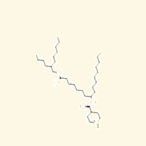 CCCCCCCCCC(CCCCCCC(=O)OCC(CCCC)CCCCCC)OC(=O)C1CCN(C)CC1